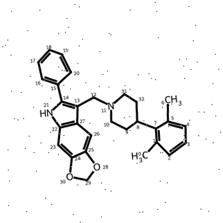 Cc1cccc(C)c1C1CCN(Cc2c(-c3ccccc3)[nH]c3cc4c(cc23)OCO4)CC1